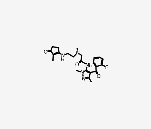 CC1=C(NCCN(C)CC(=O)Nc2c(C(=O)c3ccccc3F)c(C)nn2C)CCC1=O